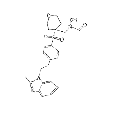 Cc1nc2ccccc2n1CCc1ccc(S(=O)(=O)C2(CN(O)C=O)CCOCC2)cc1